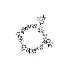 CC[C@H](C)[C@@H]1NC(=O)[C@H](CC(C)C)N(C)C(=O)C[C@@H](C)NC(=O)[C@H](C2CCCC2)N(C)C(=O)C2(CCCC2)NC(=O)[C@@H]2CCCN2C(=O)[C@H](CCc2ccc(C(F)(F)F)c(Cl)c2)NC(=O)[C@@H](C)N(C)C(=O)[C@H](Cc2ccc(C(F)(F)F)cc2)N(C)C(=O)CN(C)C(=O)CN(C)C1=O